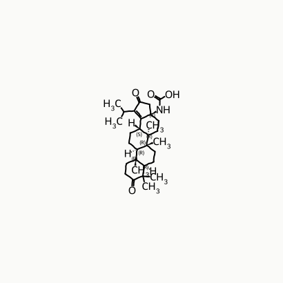 CC(C)C1=C2[C@H]3CC[C@@H]4[C@@]5(C)CCC(=O)C(C)(C)[C@@H]5CC[C@@]4(C)[C@]3(C)CC[C@@]2(NC(=O)O)CC1=O